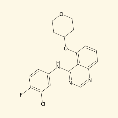 Fc1ccc(Nc2ncnc3cccc(OC4CCOCC4)c23)cc1Cl